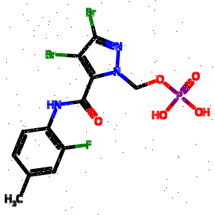 Cc1ccc(NC(=O)c2c(Br)c(Br)nn2COP(=O)(O)O)c(F)c1